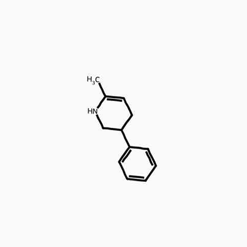 CC1=CCC(c2ccccc2)CN1